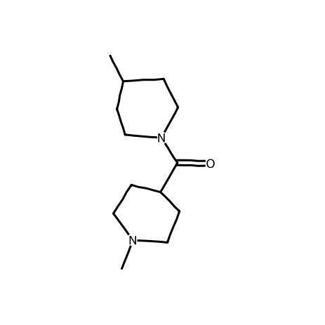 CC1CCN(C(=O)C2CCN(C)CC2)CC1